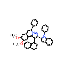 COc1cc2cc(-c3ccccc3)n3nc(-c4cc5ccccc5n4-c4ccccc4)c(-c4cccc5ccccc45)c3c2cc1OC